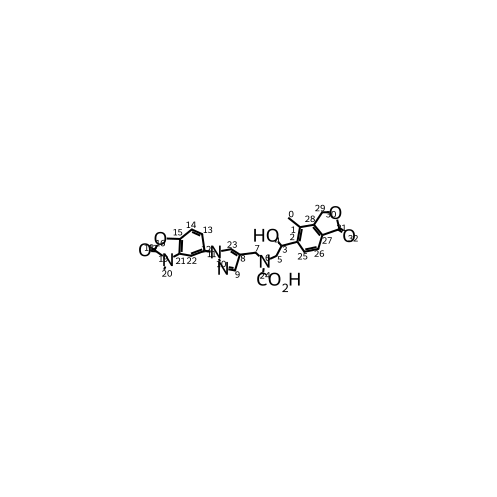 Cc1c(C(O)CN(Cc2cnn(-c3ccc4oc(=O)n(C)c4c3)c2)C(=O)O)ccc2c1COC2=O